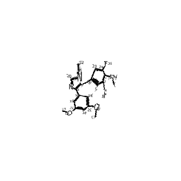 CNc1c(F)cc(-c2c(-c3cc(OC)cc(OC)c3)ncn2C)cc1F